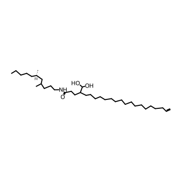 C=CCCCCCCCCCCCCCCCCC(CCC(=O)NCCCC(C)C[C@@H](C)CCCCC)C(O)O